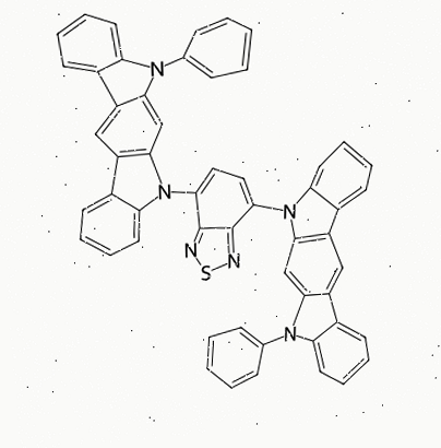 c1ccc(-n2c3ccccc3c3cc4c5ccccc5n(-c5ccc(-n6c7ccccc7c7cc8c9ccccc9n(-c9ccccc9)c8cc76)c6nsnc56)c4cc32)cc1